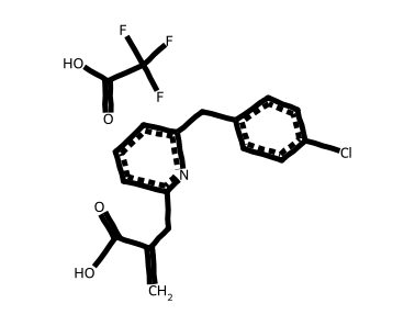 C=C(Cc1cccc(Cc2ccc(Cl)cc2)n1)C(=O)O.O=C(O)C(F)(F)F